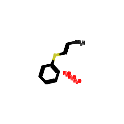 O.O.O.O=C(O)/C=C/Sc1ccccc1